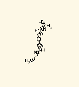 COCCn1cc(Nc2ncc(-c3ccc(CC(=O)Nc4cnc(C)c(C(F)(F)F)c4)cc3)cn2)cn1